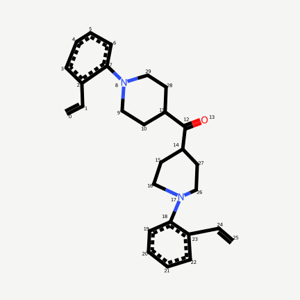 C=Cc1ccccc1N1CCC(C(=O)C2CCN(c3ccccc3C=C)CC2)CC1